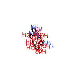 CC1OC(OC2C(CO)OC(OC3C(OC4OC(CO)CC(O)C4N)CCC(N)C3O)C2O)C(N)C(O)C1OC1OC(CO)C(O)C(O)C1O